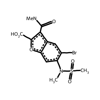 CNC(=O)c1c(C(=O)O)oc2cc(N(C)S(C)(=O)=O)c(Br)cc12